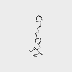 CCOC(Cc1ccc(OC/C=C/c2ccccc2)cc1)C(=O)O